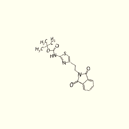 CC(C)(C)OC(=O)Nc1nc(CCN2C(=O)c3ccccc3C2=O)cs1